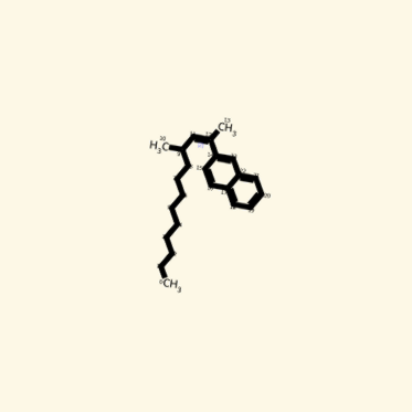 CCCCCCCCCC(C)/C=C(/C)c1ccc2ccccc2c1